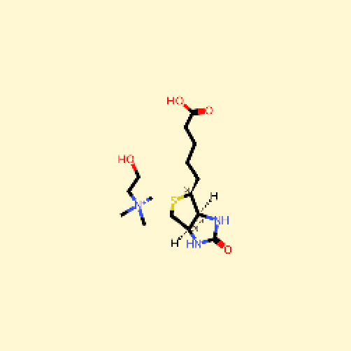 C[N+](C)(C)CCO.O=C(O)CCCC[C@@H]1SC[C@@H]2NC(=O)N[C@@H]21